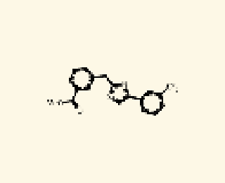 COC(=O)c1cccc(Cc2nc(-c3cccc(C(F)(F)F)c3)cs2)c1